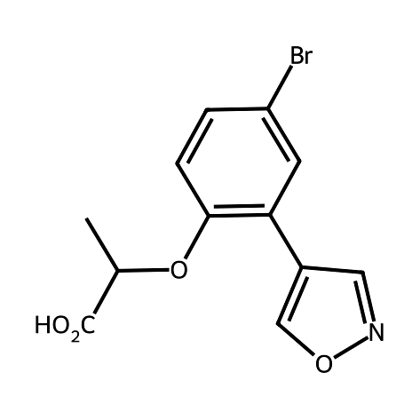 CC(Oc1ccc(Br)cc1-c1cnoc1)C(=O)O